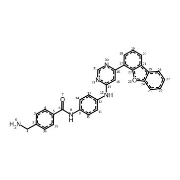 NCc1ccc(C(=O)Nc2ccc(Nc3cc(-c4cccc5c4oc4ccccc45)ncn3)cc2)cc1